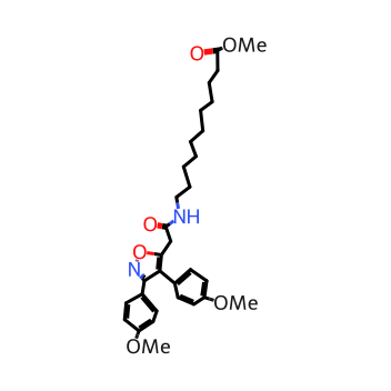 COC(=O)CCCCCCCCCCNC(=O)Cc1onc(-c2ccc(OC)cc2)c1-c1ccc(OC)cc1